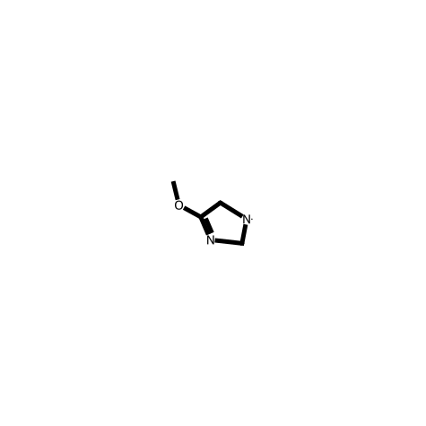 COC1=NC[N]C1